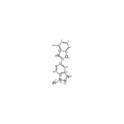 Cc1cccc2oc(-c3ccc4c(c3)nnn4C(C)C)nc12